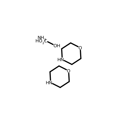 C1COCCN1.C1COCCN1.N.O=C(O)O